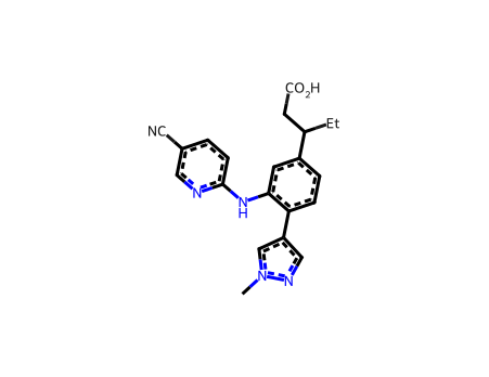 CCC(CC(=O)O)c1ccc(-c2cnn(C)c2)c(Nc2ccc(C#N)cn2)c1